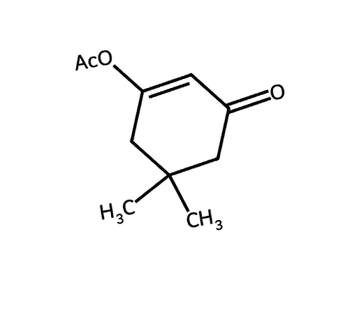 CC(=O)OC1=CC(=O)CC(C)(C)C1